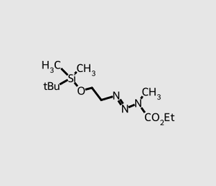 CCOC(=O)N(C)N=NCCO[Si](C)(C)C(C)(C)C